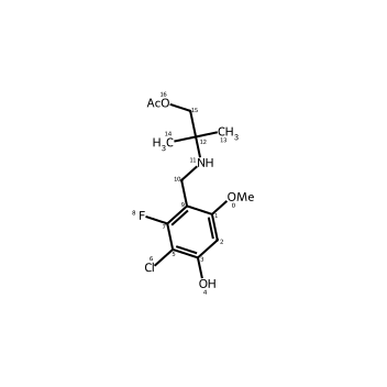 COc1cc(O)c(Cl)c(F)c1CNC(C)(C)COC(C)=O